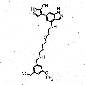 N#CCc1cc(CNCCCCOCCNc2cc(-c3cn[nH]c3C#N)cc3[nH]ncc23)cc(OC(F)(F)F)c1